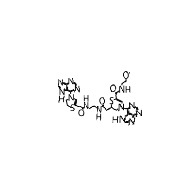 COCCNC(=O)C1=CN(c2ncnc3nc[nH]c23)CC(CC(=O)NCCNC(=O)C2=CN(c3ncnc4nc[nH]c34)CCS2)S1